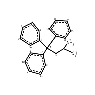 NC(S)CC(c1ccccc1)(c1ccccc1)c1ccccc1